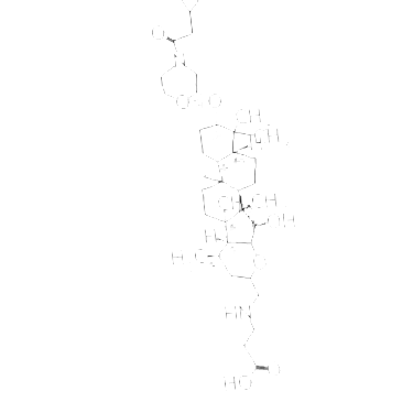 C[C@@H]1CC(CNCCC(=O)O)OC2[C@H]1[C@@]1(C)CCC34C[C@@]35CC[C@H](O[C@H]3CN(C(=O)CC6CC6)CCO3)C(C)(C)[C@@H]5CCC4[C@]1(C)[C@H]2O